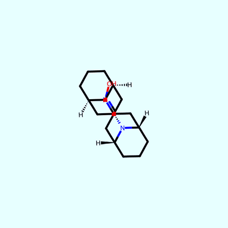 ON=C1C[C@H]2CCC[C@@H](C1)N2[C@H]1C[C@@H]2CCC[C@@H](C2)C1